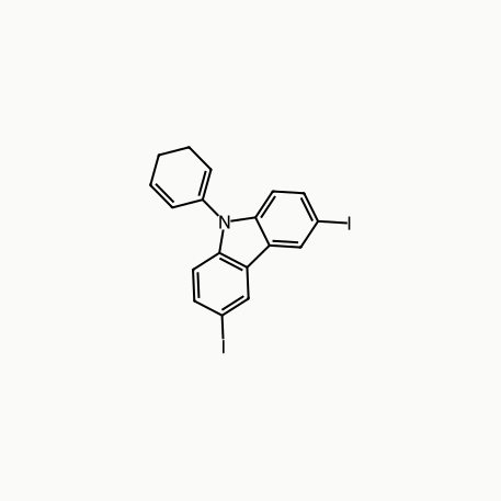 Ic1ccc2c(c1)c1cc(I)ccc1n2C1=CCCC=C1